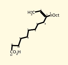 CC=C(CCCCCCCC)CCCCCCCCC(=O)O